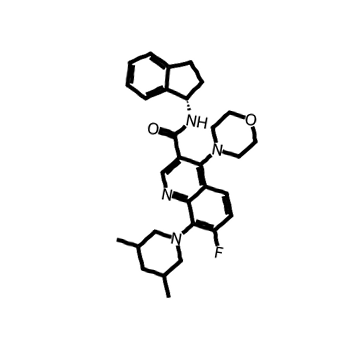 CC1CC(C)CN(c2c(F)ccc3c(N4CCOCC4)c(C(=O)N[C@H]4CCc5ccccc54)cnc23)C1